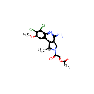 COc1cc2c3c(c(N)nc2c(Cl)c1Cl)CN(C(=O)COC(C)=O)[C@H]3C